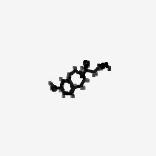 COc1ccc2c(c1)CCN(C(=O)CN)CC2